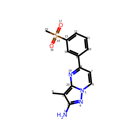 Cc1c(N)nn2ccc(-c3cccc(S(C)(=O)=O)c3)nc12